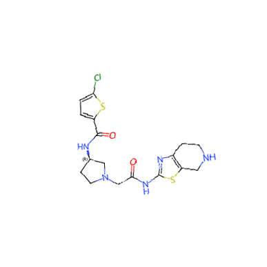 O=C(CN1CC[C@@H](NC(=O)c2ccc(Cl)s2)C1)Nc1nc2c(s1)CNCC2